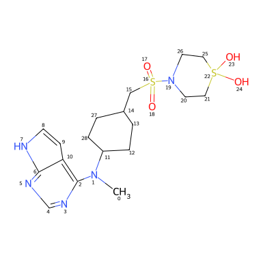 CN(c1ncnc2[nH]ccc12)C1CCC(CS(=O)(=O)N2CCS(O)(O)CC2)CC1